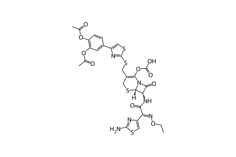 CCON=C(C(=O)N[C@@H]1C(=O)N2C(OC(=O)O)=C(CSc3nc(-c4ccc(OC(C)=O)c(OC(C)=O)c4)cs3)CS[C@@H]12)c1csc(N)n1